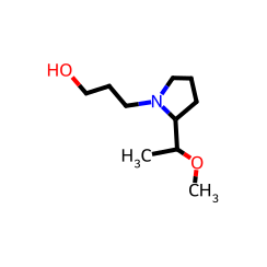 COC(C)C1CCCN1CCCO